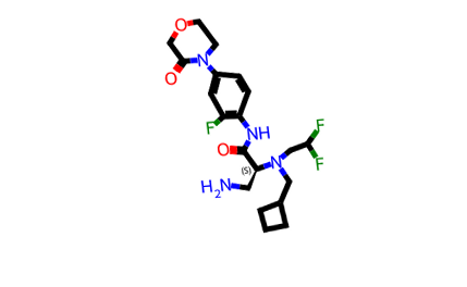 NC[C@@H](C(=O)Nc1ccc(N2CCOCC2=O)cc1F)N(CC(F)F)CC1CCC1